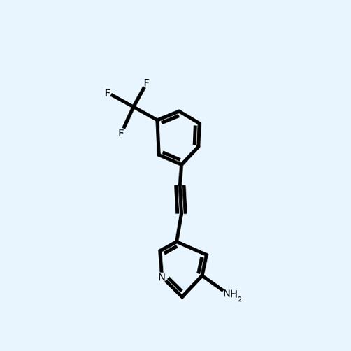 Nc1cncc(C#Cc2cccc(C(F)(F)F)c2)c1